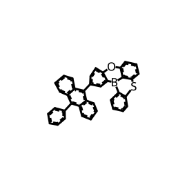 c1ccc(-c2c3ccccc3c(-c3ccc4c(c3)B3c5ccccc5Sc5cccc(c53)O4)c3ccccc23)cc1